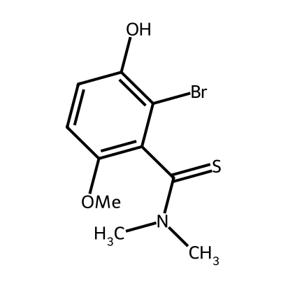 COc1ccc(O)c(Br)c1C(=S)N(C)C